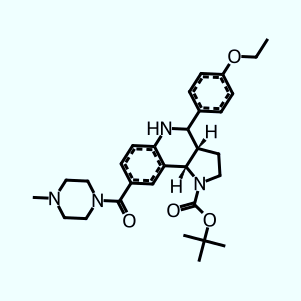 CCOc1ccc(C2Nc3ccc(C(=O)N4CCN(C)CC4)cc3[C@@H]3[C@H]2CCN3C(=O)OC(C)(C)C)cc1